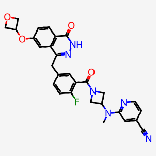 CN(c1cc(C#N)ccn1)C1CN(C(=O)c2cc(Cc3n[nH]c(=O)c4ccc(OC5COC5)cc34)ccc2F)C1